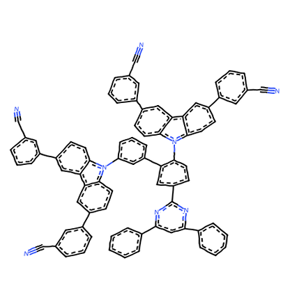 N#Cc1cccc(-c2ccc3c(c2)c2cc(-c4cccc(C#N)c4)ccc2n3-c2cccc(-c3cc(-c4nc(-c5ccccc5)cc(-c5ccccc5)n4)ccc3-n3c4ccc(-c5cccc(C#N)c5)cc4c4cc(-c5cccc(C#N)c5)ccc43)c2)c1